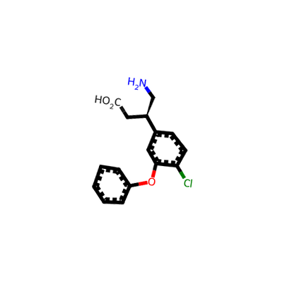 NC[C@H](CC(=O)O)c1ccc(Cl)c(Oc2ccccc2)c1